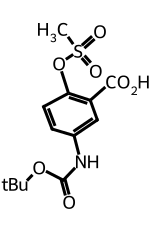 CC(C)(C)OC(=O)Nc1ccc(OS(C)(=O)=O)c(C(=O)O)c1